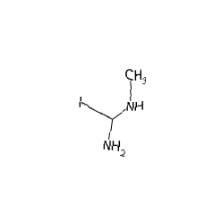 CNC(N)I